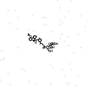 Cc1ccc(C(C)CCCC(=O)N(CCCO)CC(O)C(O)C(O)C(O)CO)cc1CNC1(c2cnccc2-c2ccccc2OC2CC2)CC1